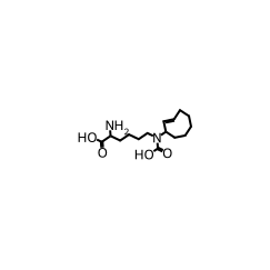 NC(CCCCN(C(=O)O)C1/C=C/CCCCC1)C(=O)O